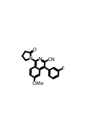 COc1ccc2c(N3CCCC3=O)nc(C#N)c(-c3cccc(F)c3)c2c1